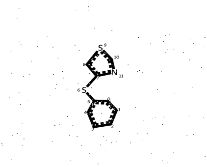 [c]1ccccc1Sc1cscn1